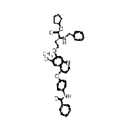 COc1cc2c(Oc3ccc(NC(=O)c4ccccc4)cc3)ccnc2cc1OCC[C@H](NCc1ccccc1)C(=O)OC1CCCC1